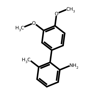 COc1ccc(-c2c(C)cccc2N)cc1OC